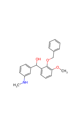 CNc1cccc(C(O)c2cccc(OC)c2OCc2ccccc2)c1